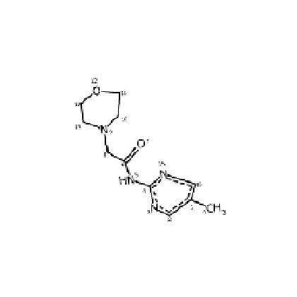 Cc1cnc(NC(=O)CN2CCOCC2)nc1